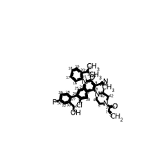 C=CC(=O)N1CCN(c2c(C#N)c(=O)n(-c3ccccc3C(C)C)c3cc(-c4ccc(F)cc4CO)c(Cl)cc23)[C@@H](C)C1